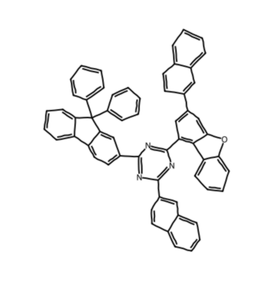 c1ccc(C2(c3ccccc3)c3ccccc3-c3ccc(-c4nc(-c5ccc6ccccc6c5)nc(-c5cc(-c6ccc7ccccc7c6)cc6oc7ccccc7c56)n4)cc32)cc1